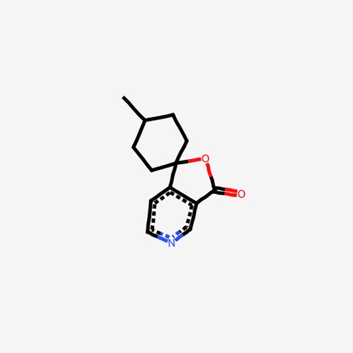 CC1CCC2(CC1)OC(=O)c1cnccc12